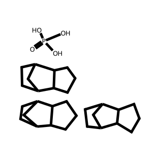 C1CC2C3CCC(C3)C2C1.C1CC2C3CCC(C3)C2C1.C1CC2C3CCC(C3)C2C1.O=P(O)(O)O